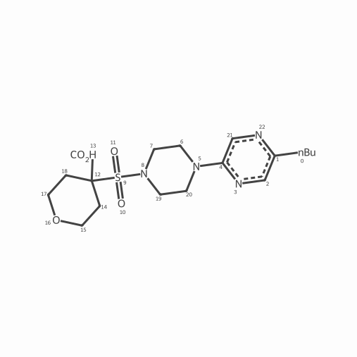 CCCCc1cnc(N2CCN(S(=O)(=O)C3(C(=O)O)CCOCC3)CC2)cn1